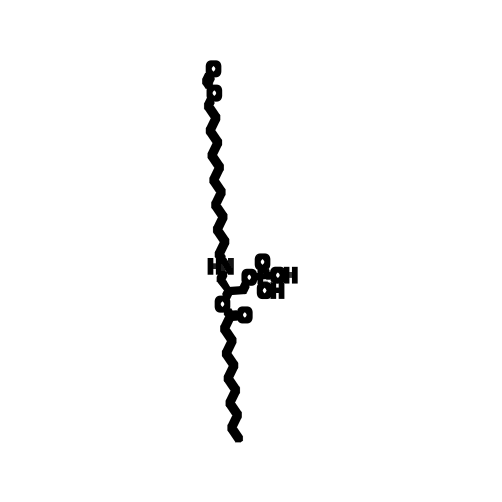 CCCCCCCCCCC(=O)O[C@@H](CNCCCCCCCCCCCCCOC=O)COP(=O)(O)O